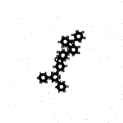 c1ccc(-c2cc(-c3ccccc3)nc(-c3ccc4c(c3)oc3ccc(-c5cccc6c5c5ccccc5n6-c5ccccc5)cc34)n2)cc1